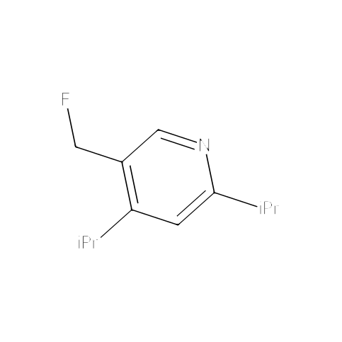 CC(C)c1cc(C(C)C)c(CF)cn1